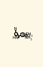 C[SH](N)(=O)N1CCCC(c2c[nH]c3c2=CC(C#N)CC=3)CC1